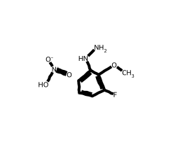 COc1c(F)cccc1NN.O=[N+]([O-])O